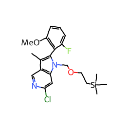 COc1cccc(F)c1-c1c(C)c2cnc(Cl)cc2n1COCC[Si](C)(C)C